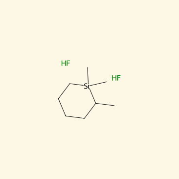 CC1CCCC[Si]1(C)C.F.F